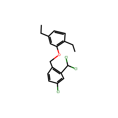 CCc1ccc(CC)c(OCc2ccc(Cl)cc2C(Cl)Cl)c1